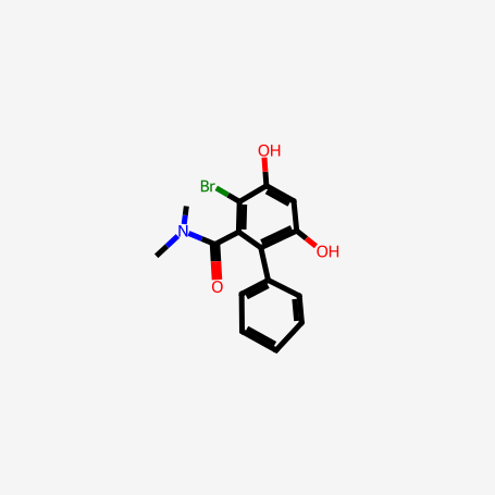 CN(C)C(=O)c1c(Br)c(O)cc(O)c1-c1ccccc1